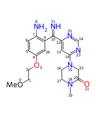 COCCOc1ccc(N)c(C(=N)c2cc(N3CCN(C)C(=O)C3)ncn2)c1